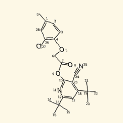 Cc1ccc(OCC(=O)Oc2nc(C(C)(C)C)cc(C(C)(C)C)c2C#N)c(Cl)c1